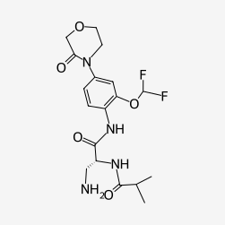 CC(C)C(=O)N[C@H](CN)C(=O)Nc1ccc(N2CCOCC2=O)cc1OC(F)F